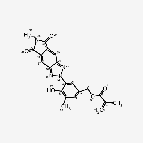 C=C(C)C(=O)OCc1cc(C)c(O)c(-n2nc3cc4c(cc3n2)C(=O)N(C)C4=O)c1